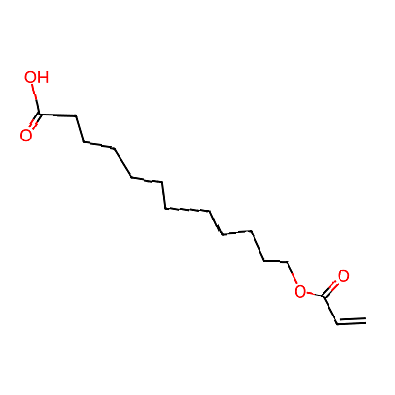 C=CC(=O)OCCCCCCCCCCCC(=O)O